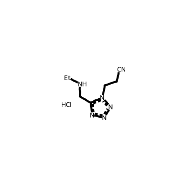 CCNCc1nnnn1CCC#N.Cl